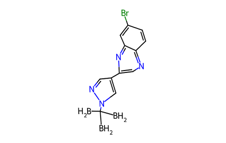 BC(B)(B)n1cc(-c2cnc3ccc(Br)cc3n2)cn1